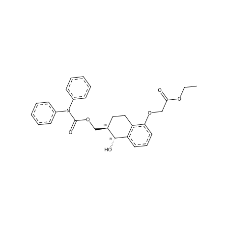 CCOC(=O)COc1cccc2c1CC[C@H](COC(=O)N(c1ccccc1)c1ccccc1)[C@H]2O